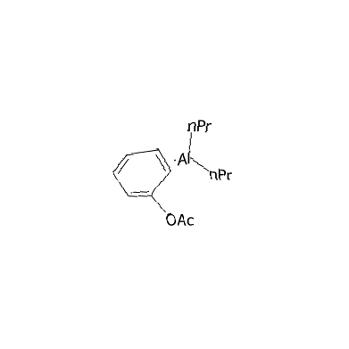 CC(=O)Oc1ccccc1.CC[CH2][Al][CH2]CC